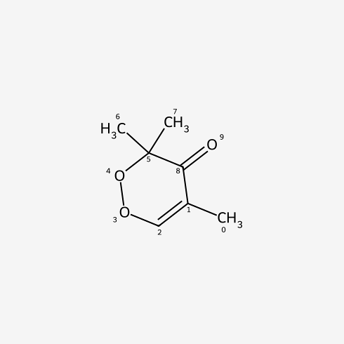 CC1=COOC(C)(C)C1=O